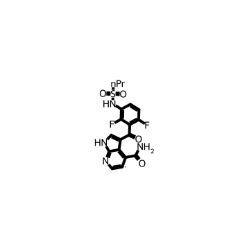 CCCS(=O)(=O)Nc1ccc(F)c(C(=O)c2c[nH]c3nc[c]c(C(N)=O)c23)c1F